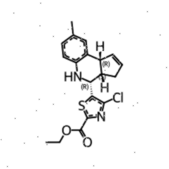 CCOC(=O)c1nc(Cl)c([C@@H]2Nc3ccc(C)cc3[C@@H]3C=CC[C@@H]32)s1